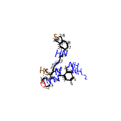 N=Cc1c(N)cccc1-c1nc(/C=C/CNc2ccc3c(c2)CSC3)c(S)c(N2CCOCC2)n1